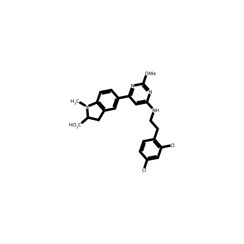 COc1nc(NCCc2ccc(Cl)cc2Cl)cc(-c2ccc3c(c2)CC(C(=O)O)N3C)n1